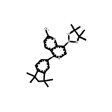 CC1(C)CC(C)(C)c2cc(-c3ncc(B4OC(C)(C)C(C)(C)O4)c4nc(C(F)(F)F)ccc34)ccc21